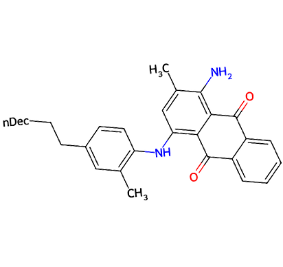 CCCCCCCCCCCCc1ccc(Nc2cc(C)c(N)c3c2C(=O)c2ccccc2C3=O)c(C)c1